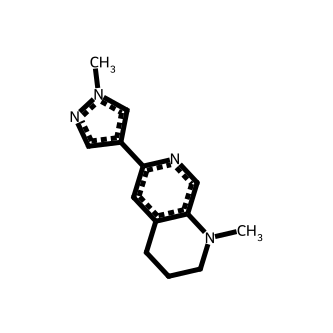 CN1CCCc2cc(-c3cnn(C)c3)ncc21